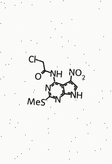 CSc1nc(NC(=O)CCl)c2c([N+](=O)[O-])c[nH]c2n1